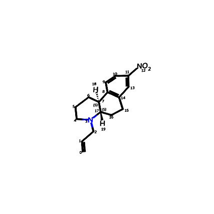 C=CCN1CCC[C@H]2c3ccc([N+](=O)[O-])cc3CC[C@@H]21